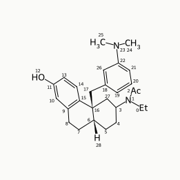 CCN(C(C)=O)C1CC[C@@H]2CCc3cc(O)ccc3[C@]2(Cc2cccc(N(C)C)c2)C1